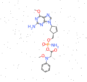 COc1nc(N)nc2c1ncn2[C@H]1C=C[C@@H](COP(N)(=O)OC(=O)[C@H](C)N(OC)c2ccccc2)C1